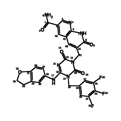 NC(=O)c1cnc2[nH]c(=O)c(Cn3c(=O)nc(Nc4ccc5c(c4)CCO5)n(Cc4cc(F)c(F)c(F)c4)c3=O)cc2c1